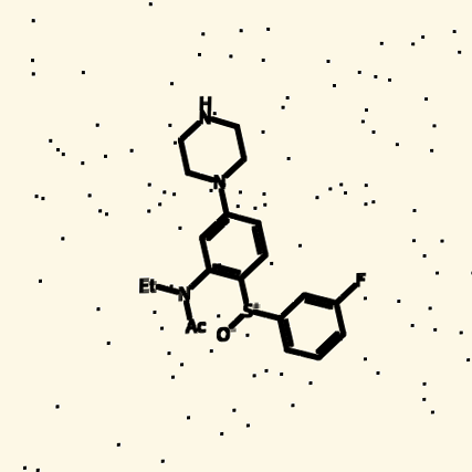 CCN(C(C)=O)c1cc(N2CCNCC2)ccc1[S+]([O-])c1cccc(F)c1